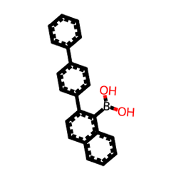 OB(O)c1c(-c2ccc(-c3ccccc3)cc2)ccc2ccccc12